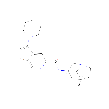 O=C(N[C@@H]1C[C@H]2CCN(C2)C1)c1cc2c(N3CCCCC3)csc2cn1